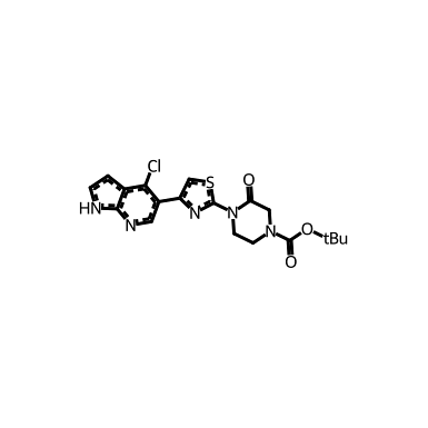 CC(C)(C)OC(=O)N1CCN(c2nc(-c3cnc4[nH]ccc4c3Cl)cs2)C(=O)C1